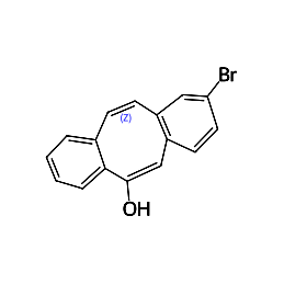 OC1=Cc2ccc(Br)cc2/C=C\c2ccccc21